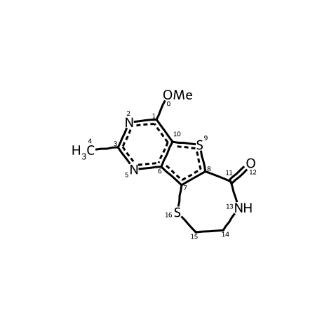 COc1nc(C)nc2c3c(sc12)C(=O)NCCS3